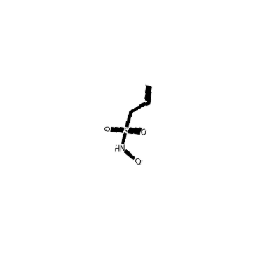 C=CCS(=O)(=O)N[O]